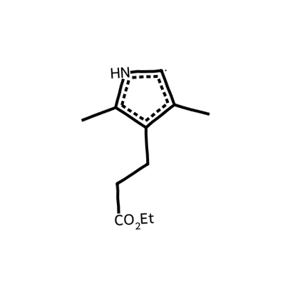 CCOC(=O)CCc1c(C)[c][nH]c1C